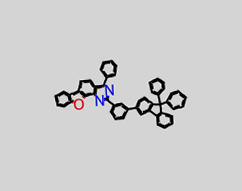 c1ccc(-c2nc(-c3cccc(-c4ccc5c(c4)-c4ccccc4C5(c4ccccc4)c4ccccc4)c3)nc3c2ccc2c4ccccc4oc23)cc1